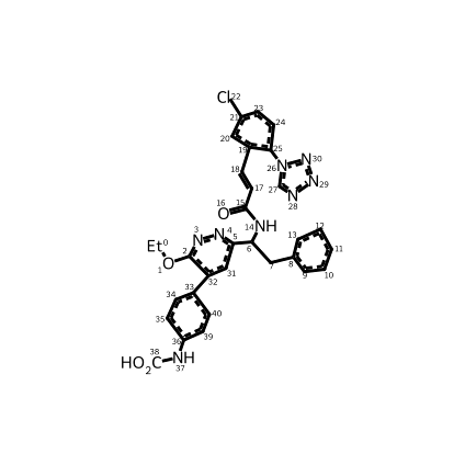 CCOc1nnc(C(Cc2ccccc2)NC(=O)C=Cc2cc(Cl)ccc2-n2cnnn2)cc1-c1ccc(NC(=O)O)cc1